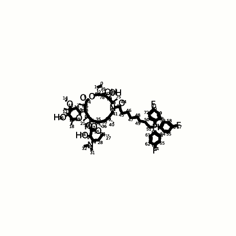 CC[C@H]1OC(=O)[C@H](C)[C@@H](C2C[C@@](C)(OC)[C@@H](O)[C@H](C)O2)[C@H](C)[C@@H](O[C@@H]2O[C@H](C)C[C@H](N(C)C)[C@H]2O)[C@](C)(O)C[C@@H](C)CN(C(=O)CCCCCCC[PH](c2ccc(F)cc2)(c2ccc(F)cc2)c2ccc(F)cc2)[C@H](C)[C@@H](O)[C@]1(C)O